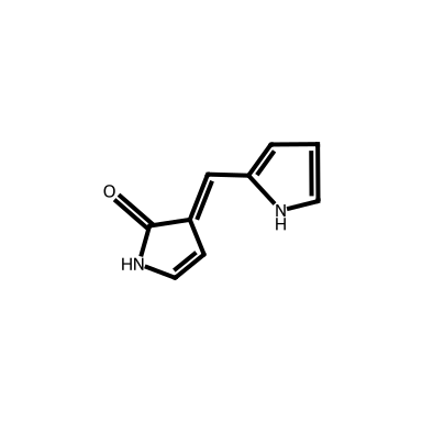 O=C1NC=C/C1=C\c1ccc[nH]1